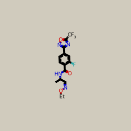 CCO/N=C\C(C)NC(=O)c1ccc(-c2noc(C(F)(F)F)n2)cc1F